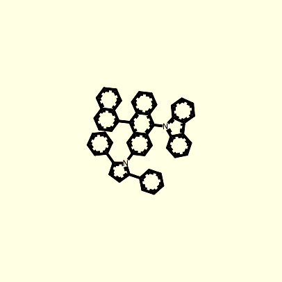 c1ccc(-c2ccc(-c3ccccc3)n2-c2ccc3c(-n4c5ccccc5c5ccccc54)c4ccccc4c(-c4cccc5ccccc45)c3c2)cc1